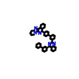 c1ccc(-c2cccc(-c3nc(-c4cccc(-c5ccc(-c6nc7c(nc8ccccn87)c7ccccc67)cc5)c4)nc4ccccc34)c2)cc1